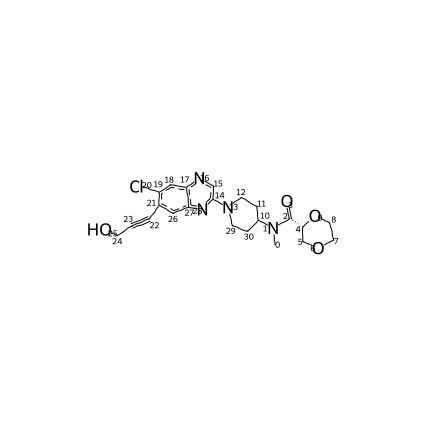 CN(C(=O)[C@H]1COCCO1)C1CCN(c2cnc3cc(Cl)c(C#CCO)cc3n2)CC1